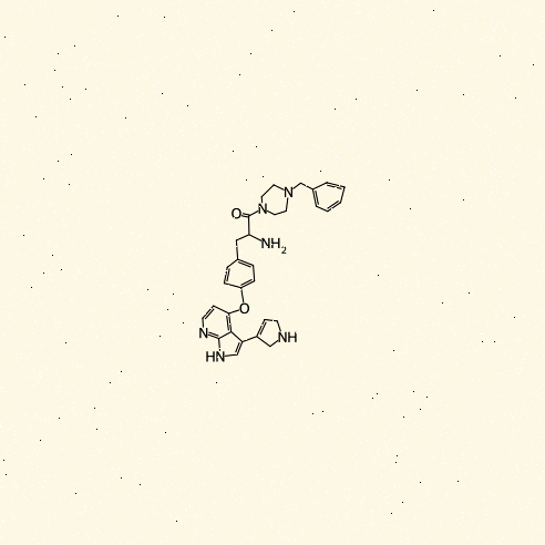 NC(Cc1ccc(Oc2ccnc3[nH]cc(C4=CCNC4)c23)cc1)C(=O)N1CCN(Cc2ccccc2)CC1